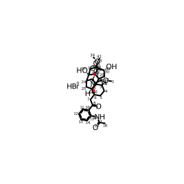 Br.COC1CCC2(CC(=O)c3ccccc3NC(C)=O)CN(C)[C@@H]3C4C[C@H]2C13[C@@H]1C[C@]2(O)C(OC)C[C@@]4(O)[C@@]1(O)C2OC